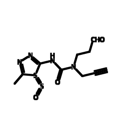 C#CCN(CCC=O)C(=O)NC1=NN=C(C)S1=S=O